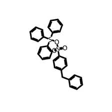 O=S(=O)(OS(c1ccccc1)(c1ccccc1)c1ccccc1)c1ccc(Cc2ccccc2)cc1